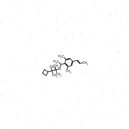 C/C=C/c1cc(C)c(B(C)OC(C)(C)C(C)(C)C2CCC2)c(C)c1